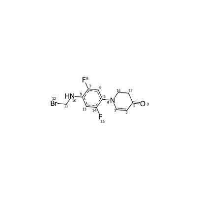 O=C1C=CN(c2cc(F)c(NCBr)cc2F)CC1